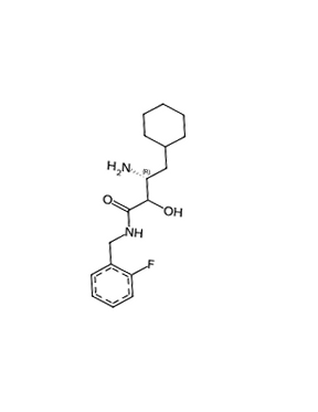 N[C@H](CC1CCCCC1)C(O)C(=O)NCc1ccccc1F